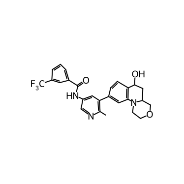 Cc1ncc(NC(=O)c2cccc(C(F)(F)F)c2)cc1-c1ccc2c(c1)N1CCOCC1CC2O